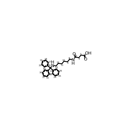 O=C(O)CCC(=O)NCCCCCCNC(c1ccccc1)(c1ccccc1)c1ccccc1